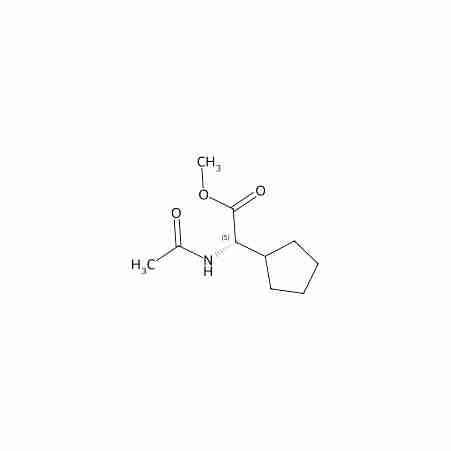 COC(=O)[C@@H](NC(C)=O)C1CCCC1